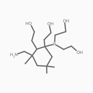 CC1(C)CC(C)(CN)C(CCO)C(CCO)(N(CCO)CCO)C1